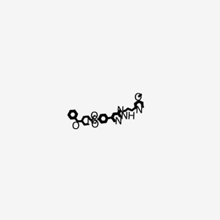 COc1ccnc(CCc2nc3cc(-c4ccc(S(=O)(=O)N5CCC(C(=O)c6ccccc6)CC5)cc4)cnc3[nH]2)c1